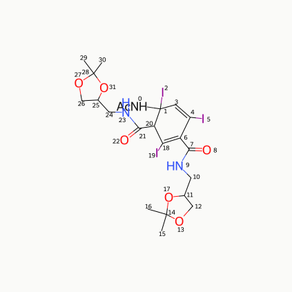 CC(=O)NC1(I)C=C(I)C(C(=O)NCC2COC(C)(C)O2)=C(I)C1C(=O)NCC1COC(C)(C)O1